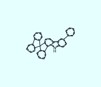 c1ccc(-c2ccc3[nH]c4c5c(ccc4c3c2)C2(c3ccccc3-c3ccccc32)c2ccccc2-5)cc1